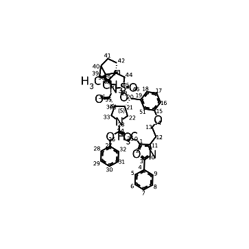 Cc1oc(-c2ccccc2)nc1CCOc1cccc(C[C@@H]2CN(C(=O)Oc3ccccc3)C[C@@H]2C(=O)N2C3CC4CC[C@@]3(CS2(=O)=O)C4(C)C)c1